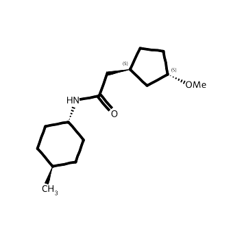 CO[C@H]1CC[C@H](CC(=O)N[C@H]2CC[C@H](C)CC2)C1